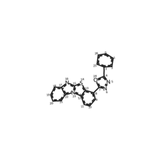 c1ccc(-c2nnc(-c3cccc4c3sc3nc5ccccc5n34)o2)cc1